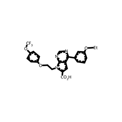 CCOc1cccc(-c2ncnc3c2cc(C(=O)O)n3CCOc2ccc(OC(F)(F)F)cc2)c1